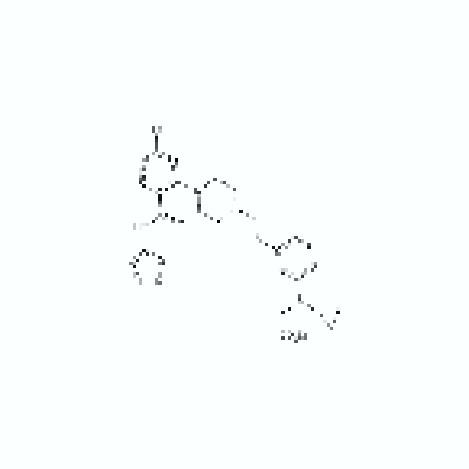 CCOC(=O)CC(c1cccc(OCC2CCN(c3cc(CC)ccc3C(=O)Nc3cn[nH]c3)CC2)c1)C1CC1